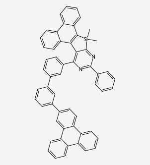 C[Si]1(C)c2nc(-c3ccccc3)nc(-c3cccc(-c4cccc(-c5ccc6c7ccccc7c7ccccc7c6c5)c4)c3)c2-c2c1c1ccccc1c1ccccc21